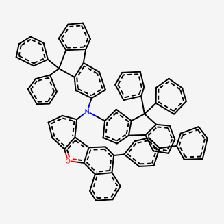 c1ccc(-c2ccc(-c3cc4c(oc5cccc(N(c6ccc7c(c6)C(c6ccccc6)(c6ccccc6)c6ccccc6-7)c6ccc7c(c6)C(c6ccccc6)(c6ccccc6)c6ccccc6-7)c54)c4ccccc34)cc2)cc1